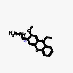 CCN1C2=CC(OC)/C(=C\NN)C=C2Sc2ccccc21